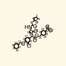 O=C(Cc1cccs1)N[C@H]1CN(C(C(=O)OCc2ccc([N+](=O)[O-])cc2)c2ccc(OCc3ccccc3)c(Cl)c2)C1=O